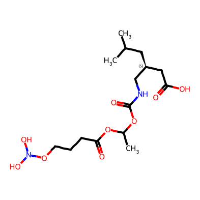 CC(C)C[C@H](CNC(=O)OC(C)OC(=O)CCCON(O)O)CC(=O)O